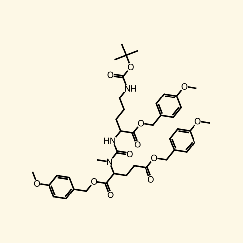 COc1ccc(COC(=O)CCC(C(=O)OCc2ccc(OC)cc2)N(C)C(=O)NC(CCCNC(=O)OC(C)(C)C)C(=O)OCc2ccc(OC)cc2)cc1